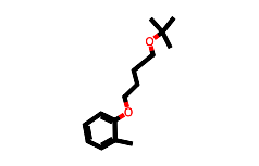 Cc1ccccc1OCCCCOC(C)(C)C